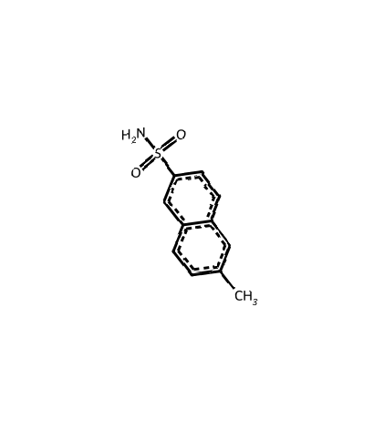 Cc1ccc2cc(S(N)(=O)=O)ccc2c1